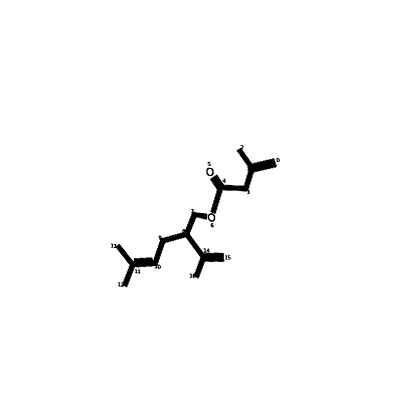 C=C(C)CC(=O)OCC(CC=C(C)C)C(=C)C